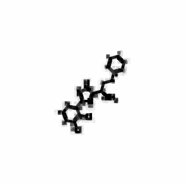 N[C@H](CCc1ccccc1)c1nc(-c2cccc(Cl)c2Cl)n[nH]1